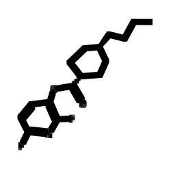 CCCC[C@H]1CC[C@H](C(=O)Oc2ccc(F)nc2F)CC1